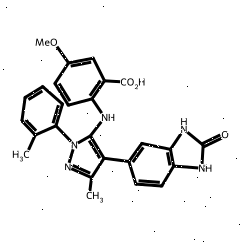 COc1ccc(Nc2c(-c3ccc4[nH]c(=O)[nH]c4c3)c(C)nn2-c2ccccc2C)c(C(=O)O)c1